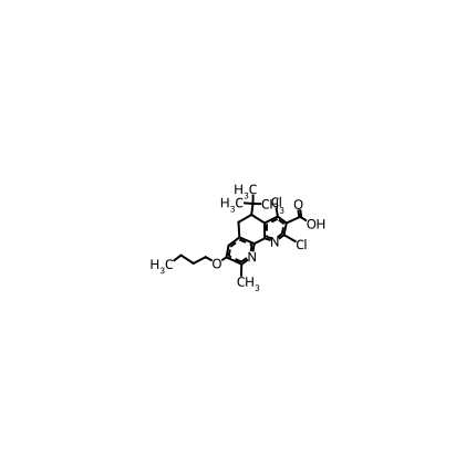 CCCCOc1cc2c(nc1C)-c1nc(Cl)c(C(=O)O)c(Cl)c1C(C(C)(C)C)C2